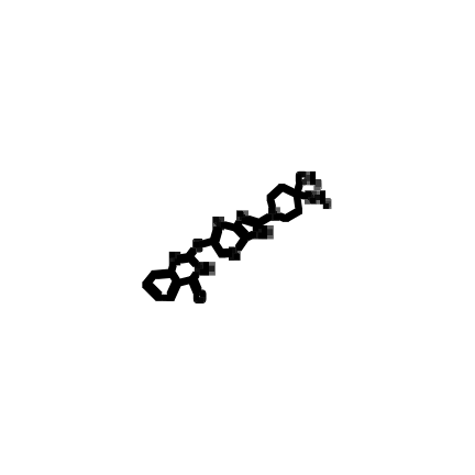 CC1(N)CCN(c2nc3nc(Sc4nc5ccccc5c(=O)[nH]4)cnc3[nH]2)CC1